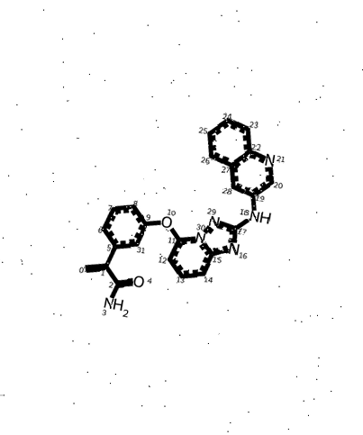 C=C(C(N)=O)c1cccc(Oc2cccc3nc(Nc4cnc5ccccc5c4)nn23)c1